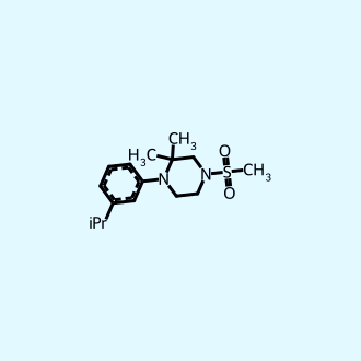 CC(C)c1cccc(N2CCN(S(C)(=O)=O)CC2(C)C)c1